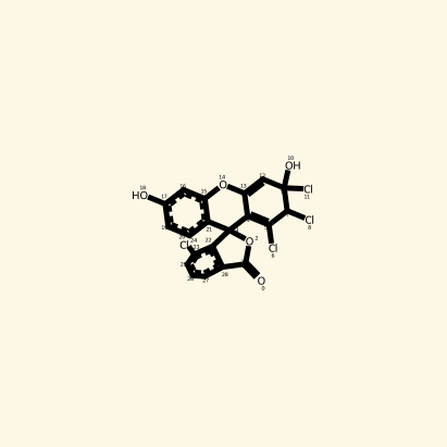 O=C1OC2(C3=C(Cl)C(Cl)C(O)(Cl)C=C3Oc3cc(O)ccc32)c2c(Cl)cccc21